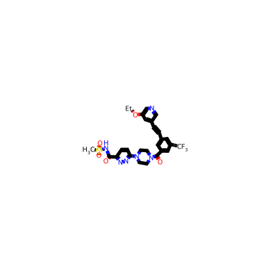 CCOc1cncc(C#Cc2cc(C(=O)N3CCN(c4ccc(C(=O)NS(C)(=O)=O)nn4)CC3)cc(C(F)(F)F)c2)c1